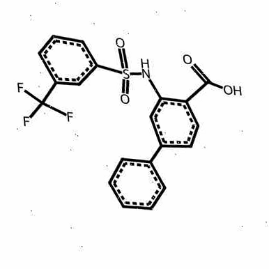 O=C(O)c1ccc(-c2ccccc2)cc1NS(=O)(=O)c1cccc(C(F)(F)F)c1